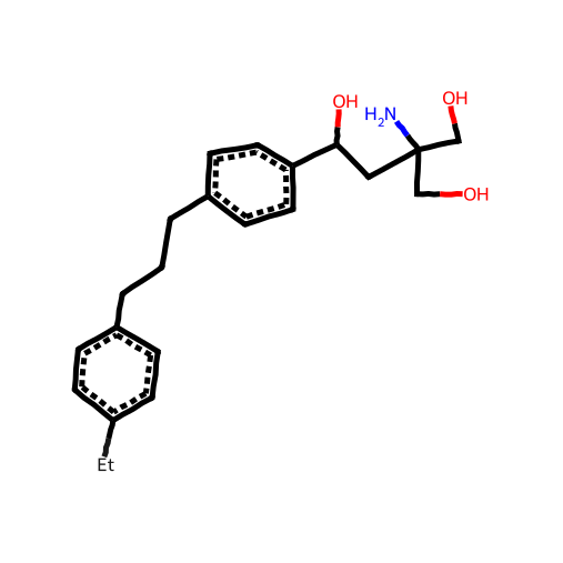 CCc1ccc(CCCc2ccc(C(O)CC(N)(CO)CO)cc2)cc1